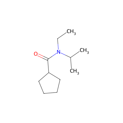 CCN(C(=O)C1CCCC1)C(C)C